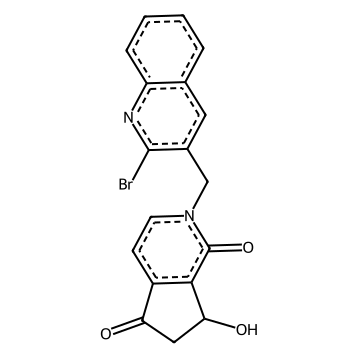 O=C1CC(O)c2c1ccn(Cc1cc3ccccc3nc1Br)c2=O